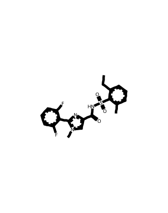 CCc1cccc(C)c1S(=O)(=O)NC(=O)c1cn(C)c(-c2c(F)cccc2F)n1